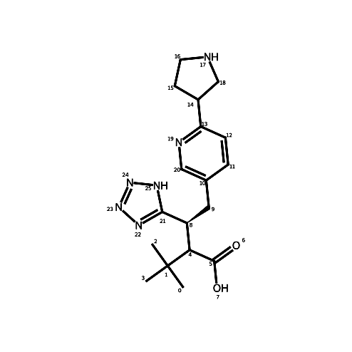 CC(C)(C)C(C(=O)O)[C@H](Cc1ccc(C2CCNC2)nc1)c1nnn[nH]1